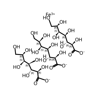 O=C([O-])[C@H](O)[C@H](O)[C@H](O)[C@@H](O)[C@H](O)CO.O=C([O-])[C@H](O)[C@H](O)[C@H](O)[C@@H](O)[C@H](O)CO.O=C([O-])[C@H](O)[C@H](O)[C@H](O)[C@@H](O)[C@H](O)CO.[Fe+3]